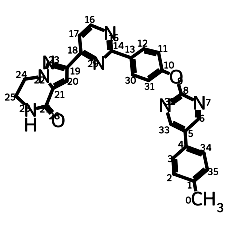 Cc1ccc(-c2cnc(Oc3ccc(-c4nccc(-c5cc6n(n5)CCNC6=O)n4)cc3)nc2)cc1